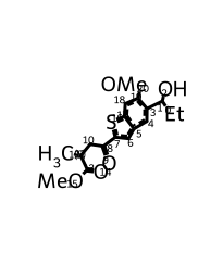 CCC(O)c1cc2cc(C(=O)C[C@H](C)C(=O)OC)sc2cc1OC